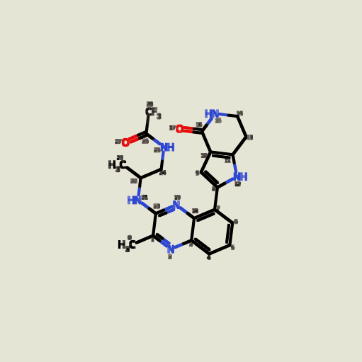 Cc1nc2cccc(-c3cc4c([nH]3)CCNC4=O)c2nc1NC(C)CNC(=O)C(F)(F)F